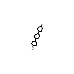 CC1CCC(C2CCC(C3CCC(Cl)CC3)CC2)CC1